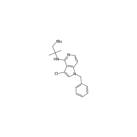 CC(C)(C)CC(C)(C)Nc1nccc2c1c(Cl)cn2Cc1ccccc1